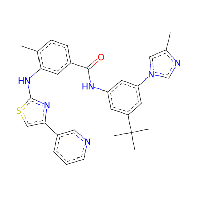 Cc1cn(-c2cc(NC(=O)c3ccc(C)c(Nc4nc(-c5cccnc5)cs4)c3)cc(C(C)(C)C)c2)cn1